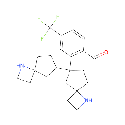 O=Cc1ccc(C(F)(F)F)cc1C1(C2CCC3(CCN3)C2)CCC2(CCN2)C1